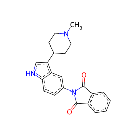 CN1CCC(c2c[nH]c3ccc(N4C(=O)c5ccccc5C4=O)cc23)CC1